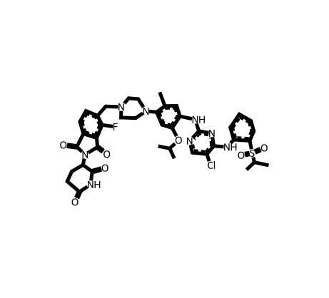 Cc1cc(Nc2ncc(Cl)c(Nc3ccccc3S(=O)(=O)C(C)C)n2)c(OC(C)C)cc1N1CCN(Cc2ccc3c(c2F)C(=O)N(C2CCC(=O)NC2=O)C3=O)CC1